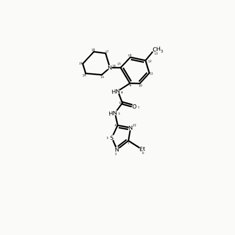 CCc1nsc(NC(=O)Nc2ccc(C)cc2N2CCCCC2)n1